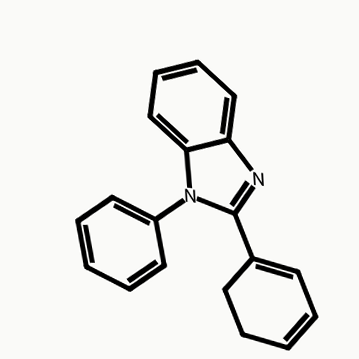 C1=CCCC(c2nc3ccccc3n2-c2ccccc2)=C1